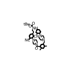 Cc1cc(C)c(C(=O)N2CCN(c3cc(CCNC(=O)OC(C)(C)C)ccc3C#N)CC2)cc1CN1CCN(c2ccccc2C#N)CC1